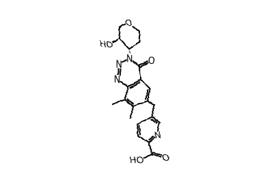 Cc1c(Cc2ccc(C(=O)O)nc2)cc2c(=O)n([C@H]3CCOC[C@@H]3O)nnc2c1C